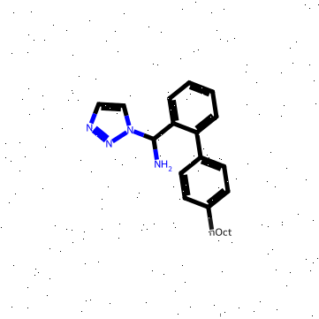 CCCCCCCCc1ccc(-c2ccccc2C(N)n2ccnn2)cc1